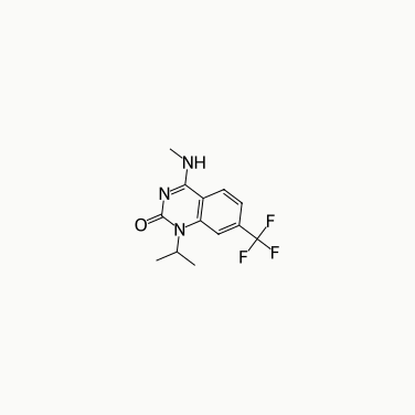 CNc1nc(=O)n(C(C)C)c2cc(C(F)(F)F)ccc12